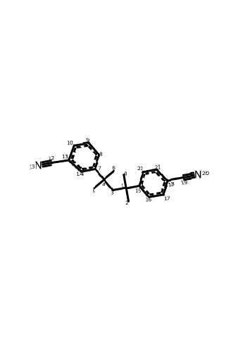 CC(C)(CC(C)(C)c1cccc(C#N)c1)c1ccc(C#N)cc1